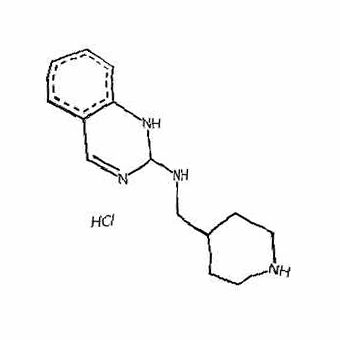 C1=NC(NCC2CCNCC2)Nc2ccccc21.Cl